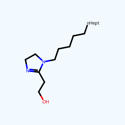 CCCCCCCCCCCCN1CCN=C1CCO